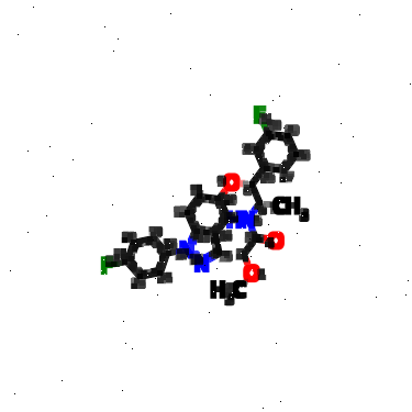 COCC(=O)N[C@@H](C)[C@H](Oc1ccc2c(cnn2-c2ccc(F)cc2)c1)c1cccc(F)c1